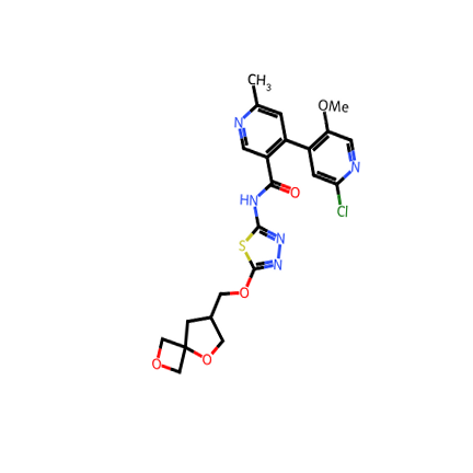 COc1cnc(Cl)cc1-c1cc(C)ncc1C(=O)Nc1nnc(OCC2COC3(COC3)C2)s1